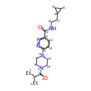 CCC(CC)C(=O)N1CCN(c2ccc(C(=O)NCCC3CC3)nn2)CC1